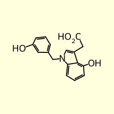 O=C(O)Cc1cn(Cc2cccc(O)c2)c2cccc(O)c12